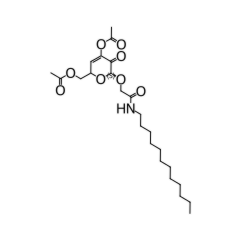 CCCCCCCCCCCCNC(=O)CO[C@H]1OC(COC(C)=O)C=C(OC(C)=O)C1=O